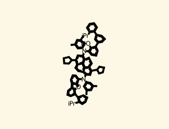 Cc1cc(C)cc(N(c2cccc(-c3cccc(-c4ccccc4C(C)C)c3)c2O)c2cc(C3CCCC3)c3ccc4c(N(c5cc(C)cc(C)c5)c5cccc6c5oc5c(-c7ccccc7C(C)C)cccc56)cc(C5CCCC5)c5ccc2c3c54)c1